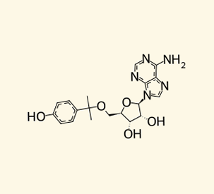 CC(C)(OC[C@H]1O[C@@H](n2cnc3c(N)ncnc32)[C@H](O)[C@@H]1O)c1ccc(O)cc1